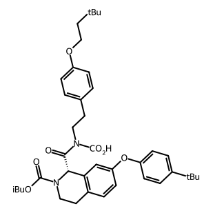 CC(C)COC(=O)N1CCc2ccc(Oc3ccc(C(C)(C)C)cc3)cc2[C@H]1C(=O)N(CCc1ccc(OCCC(C)(C)C)cc1)C(=O)O